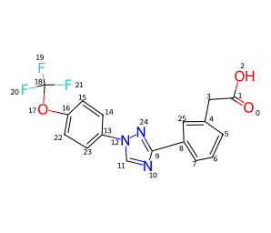 O=C(O)Cc1cccc(-c2ncn(-c3ccc(OC(F)(F)F)cc3)n2)c1